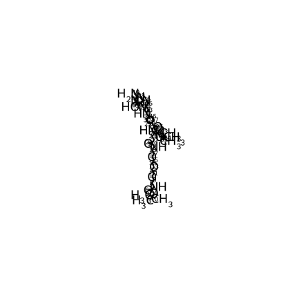 CC(C)(C)OC(=O)NCCOCCOCCOCCNC(=O)CCC(NC(=O)c1ccc(NCc2cnc3nc(N)nc(O)c3n2)cc1)C(=O)OC(C)(C)C